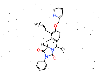 C=CCc1c(OCc2ccccn2)ccc2c1C[C@H]1C(=O)N(c3ccccc3)C(=O)N1C2CC